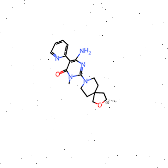 C[C@H]1CC2(CCN(c3nc(N)c(-c4ccccn4)c(=O)n3C)CC2)CO1